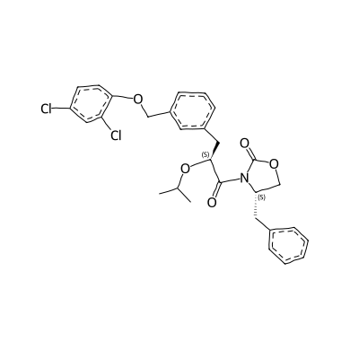 CC(C)O[C@@H](Cc1cccc(COc2ccc(Cl)cc2Cl)c1)C(=O)N1C(=O)OC[C@@H]1Cc1ccccc1